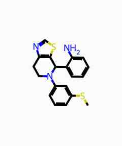 CSc1cccc(N2CCc3ncsc3C2c2ccccc2N)c1